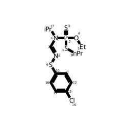 CCCSP(=S)(OCC)N(C=NSc1ccc(Cl)cc1)C(C)C